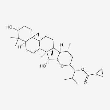 CC(C)[C@@H](OC(=O)C1CC1)C1C[C@@H](C)[C@H]2C(O1)[C@H](O)[C@@]1(C)C3CC[C@H]4C(C)(C)C(O)CC[C@@]45C[C@@]35CC[C@]21C